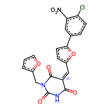 O=C1NC(=O)N(Cc2ccco2)C(=O)/C1=C\c1ccc(-c2ccc(Cl)c([N+](=O)[O-])c2)o1